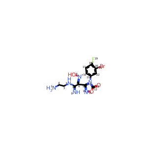 N=C(NCCN)/C(=N\O)c1noc(=O)n1-c1ccc(F)c(Br)c1